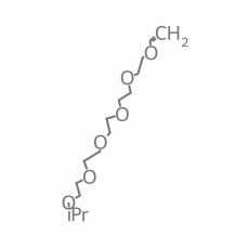 [CH2]C(C)OCCOCCOCCOCCOCCOC=C